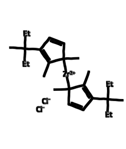 CCC(C)(CC)C1=C(C)[C](C)([Zr+2][C]2(C)C=CC(C(C)(CC)CC)=C2C)C=C1.[Cl-].[Cl-]